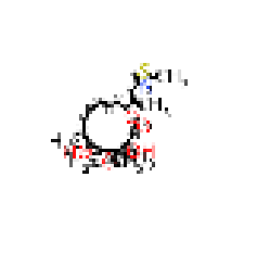 C/C(=C\c1csc(C)n1)C1C/C=C/CCC[C@H](C)[C@H](O)[C@@H](C)C(=O)C(C)(C)[C@@H](O)CC(=O)O1